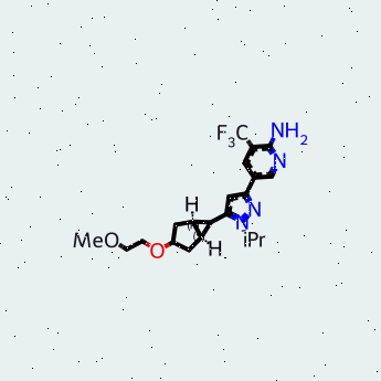 COCCOC1C[C@@H]2C(c3cc(-c4cnc(N)c(C(F)(F)F)c4)nn3C(C)C)[C@@H]2C1